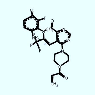 C=CC(=O)N1CCN(c2ncnc(C=O)c2/C=C(\N(C)c2c(N)ccc(Cl)c2F)C(F)(F)F)CC1